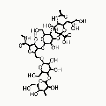 CNC(=O)C1OC(COC2OC(CO)C(OC3OC(CO)C(O)C(C)C3O)C(O)C2O)C(OC2OC(CO)C(O)C(OC3(C(=O)O)C[C@@H](O)C(NC(C)=O)C(C[C@H](O)CO)O3)C2O)C1O